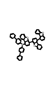 c1ccc(-c2ccc(N(c3ccc(-c4ccccc4)cc3)c3ccc(-c4ccc(-c5cccc6oc7ccccc7c56)c5c4oc4ccccc45)c4oc5ccccc5c34)cc2)cc1